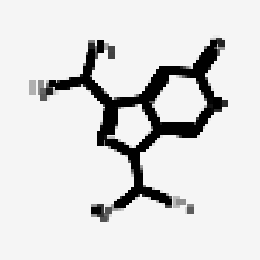 CC(C)c1nn(C(C)C)c2c[nH]c(=O)cc12